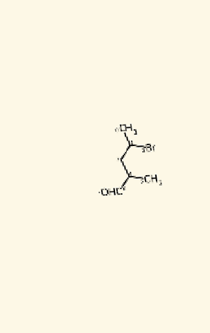 CC(Br)CC(C)[C]=O